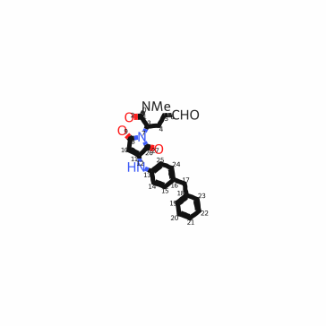 CNC(=O)C(CCC=O)N1C(=O)C=C(Nc2ccc(Cc3ccccc3)cc2)C1=O